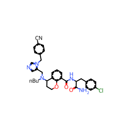 CCCCN(Cc1cncn1Cc1ccc(C#N)cc1)C1CCOc2c(C(=O)NC(Cc3ccc(Cl)cc3)C(N)=O)cccc21